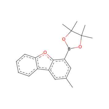 Cc1cc(B2OC(C)(C)C(C)(C)O2)c2oc3ccccc3c2c1